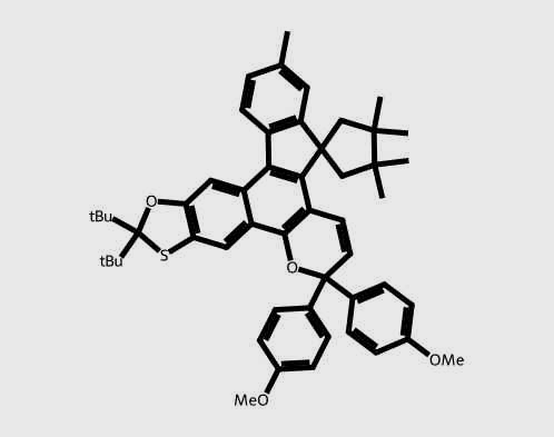 COc1ccc(C2(c3ccc(OC)cc3)C=Cc3c4c(c5cc6c(cc5c3O2)SC(C(C)(C)C)(C(C)(C)C)O6)-c2ccc(C)cc2C42CC(C)(C)C(C)(C)C2)cc1